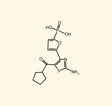 Nc1nc(-c2ccc(P(=O)(O)O)o2)c(C(=O)C2CCCC2)s1